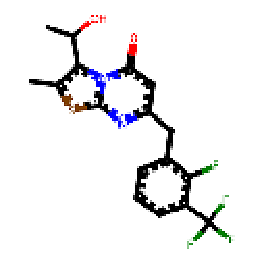 Cc1sc2nc(Cc3cccc(C(F)(F)F)c3F)cc(=O)n2c1C(C)O